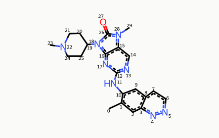 Cc1cc2nnccc2cc1Nc1ncc2c(n1)n(C1CCN(C)CC1)c(=O)n2C